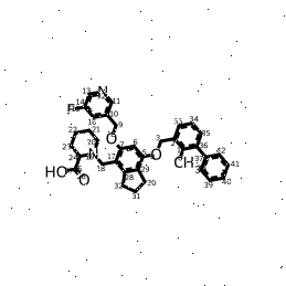 Cc1c(COc2cc(OCc3cncc(F)c3)c(CN3CCCCC3C(=O)O)c3c2CCC3)cccc1-c1ccccc1